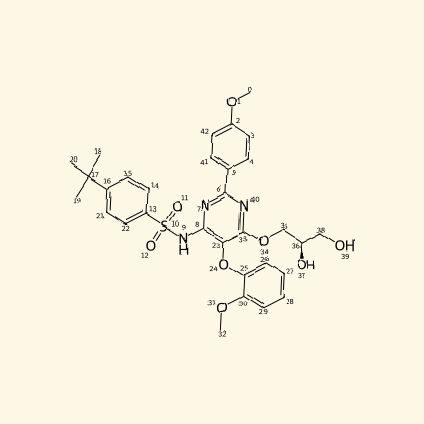 COc1ccc(-c2nc(NS(=O)(=O)c3ccc(C(C)(C)C)cc3)c(Oc3ccccc3OC)c(OC[C@H](O)CO)n2)cc1